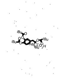 CCC(C)N[C@@](Cc1ccc(OC(=O)C(C)CC)c(OC(=O)C(C)CC)c1)(OC(=O)C(C)(C)C)C(=O)O